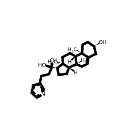 CC(O)(CCc1cccnc1)[C@H]1CC[C@H]2[C@@H]3CC=C4C[C@@H](O)CC[C@]4(C)[C@H]3CC[C@]12C